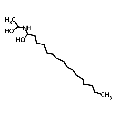 CCCCCCCCCCCCCCCC(O)NC(C)O